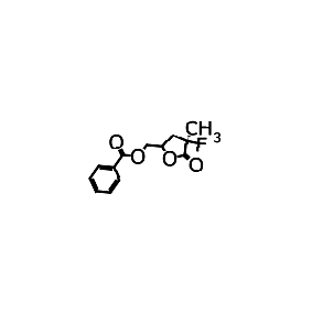 C[C@@]1(F)CC(COC(=O)c2ccccc2)OC1=O